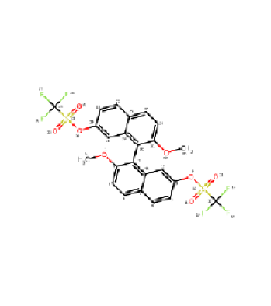 COc1ccc2ccc(OS(=O)(=O)C(F)(F)F)cc2c1-c1c(OC)ccc2ccc(OS(=O)(=O)C(F)(F)F)cc12